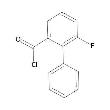 O=C(Cl)c1cccc(F)c1-c1ccccc1